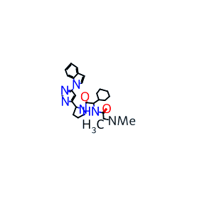 CNC(C)C(=O)NC(C(=O)N1CCCC1c1cc(-n2ccc3ccccc32)ncn1)C1CCCCC1